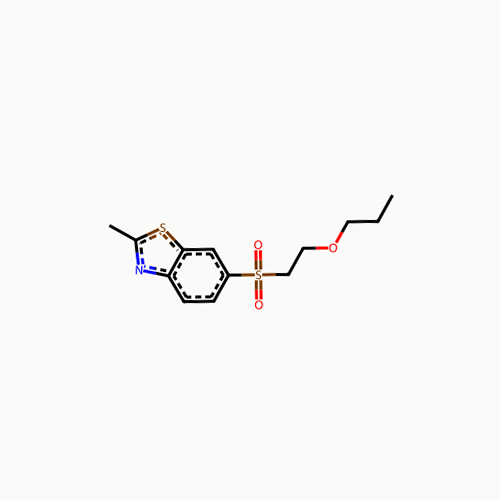 CCCOCCS(=O)(=O)c1ccc2nc(C)sc2c1